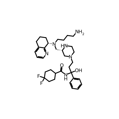 NCCCCN(C[C@H]1CN(CCC(O)(NC(=O)C2CCC(F)(F)CC2)c2ccccc2)CCN1)[C@H]1CCCc2cccnc21